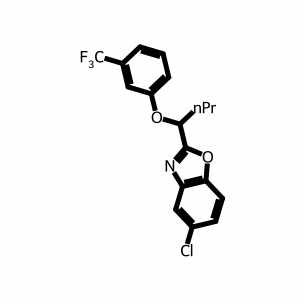 CCCC(Oc1cccc(C(F)(F)F)c1)c1nc2cc(Cl)ccc2o1